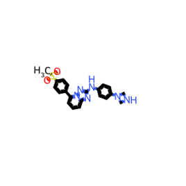 CS(=O)(=O)c1ccc(-c2cccc3nc(Nc4ccc(N5CNC5)cc4)nn23)cc1